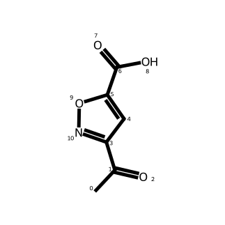 CC(=O)c1cc(C(=O)O)on1